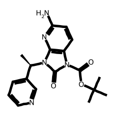 C[C@H](c1cccnc1)n1c(=O)n(C(=O)OC(C)(C)C)c2ccc(N)nc21